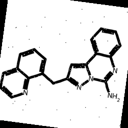 Nc1nc2ccccc2c2cc(Cc3cccc4cccnc34)nn12